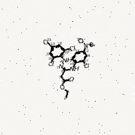 CCOC(=O)CC(=NNc1c(Cl)cc(Cl)cc1Cl)Nc1ccc([N+](=O)[O-])cc1Cl